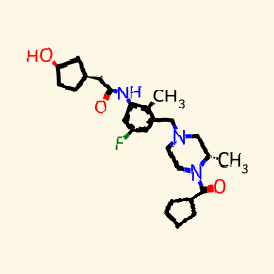 Cc1c(CN2CCN(C(=O)C3CCCC3)[C@@H](C)C2)cc(F)cc1NC(=O)C[C@H]1CC[C@@H](O)C1